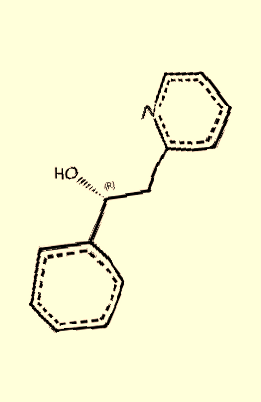 O[C@H](Cc1ccccn1)c1ccccc1